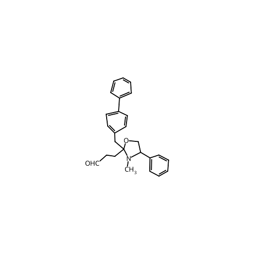 CN1C(c2ccccc2)COC1(CCC=O)Cc1ccc(-c2ccccc2)cc1